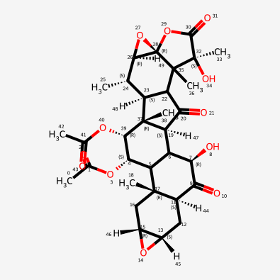 CC(=O)O[C@H]1C2C([C@@H](O)C(=O)[C@H]3C[C@@H]4O[C@@H]4C[C@]23C)[C@@H]2C(=O)C3[C@H]([C@H](C)[C@H]4O[C@]45OC(=O)[C@@](C)(O)C35C)[C@@]2(C)[C@H]1OC(C)=O